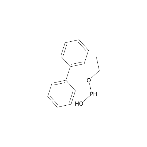 CCOPO.c1ccc(-c2ccccc2)cc1